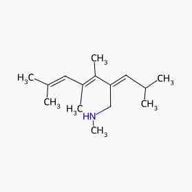 CNCC(=C\C(C)C)/C(C)=C(\C)C=C(C)C